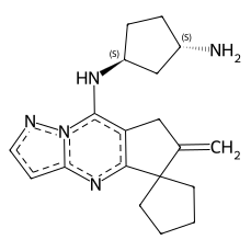 C=C1Cc2c(nc3ccnn3c2N[C@H]2CC[C@H](N)C2)C12CCCC2